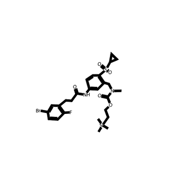 CN(Cc1cc(NC(=O)CCc2cc(Br)ccc2F)ccc1S(=O)(=O)C1CC1)C(=O)OCC[Si](C)(C)C